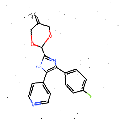 C=C1COC(c2nc(-c3ccc(F)cc3)c(-c3ccncc3)[nH]2)OC1